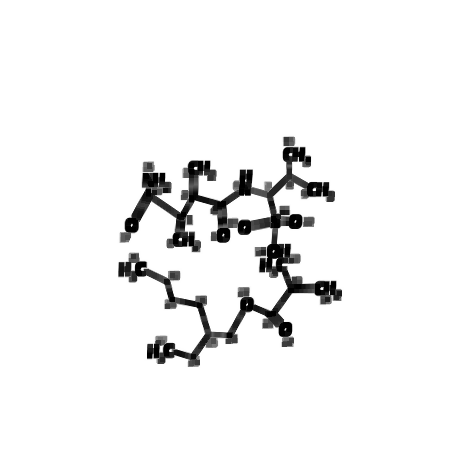 C=C(C(=C)C(=O)NC(C(C)C)S(=O)(=O)O)C(N)=O.C=C(C)C(=O)OCC(CC)CCCC